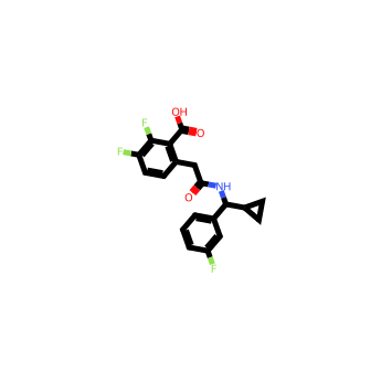 O=C(Cc1ccc(F)c(F)c1C(=O)O)NC(c1cccc(F)c1)C1CC1